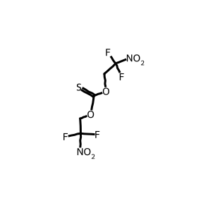 O=[N+]([O-])C(F)(F)COC(=S)OCC(F)(F)[N+](=O)[O-]